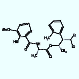 CCC(CC)[C@@H](c1ccccc1C)[C@H](C)OC(=O)[C@H](C)NC(=O)c1nccc(OC)c1O